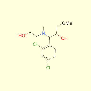 COCC(O)C(c1ccc(Cl)cc1Cl)N(C)CCO